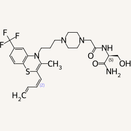 C=C/C=C\C1=C(C)N(CCCN2CCN(CC(=O)N[C@@H](CO)C(N)=O)CC2)c2cc(C(F)(F)F)ccc2S1